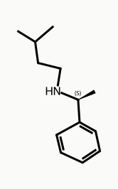 CC(C)CCN[C@@H](C)c1ccccc1